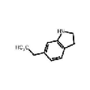 O=C(O)Cc1ccc2c(c1)NCC2